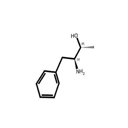 C[C@@H](O)[C@@H](N)Cc1ccccc1